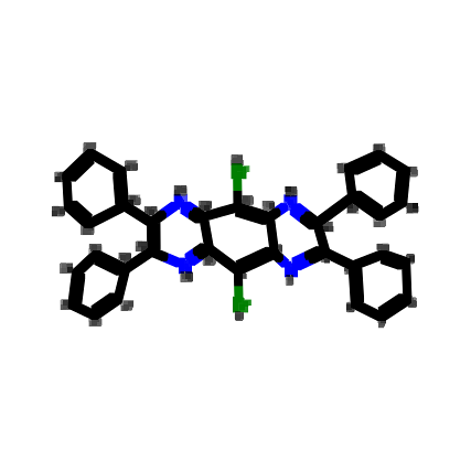 Brc1c2nc(-c3ccccc3)c(-c3ccccc3)nc2c(Br)c2nc(-c3ccccc3)c(-c3ccccc3)nc12